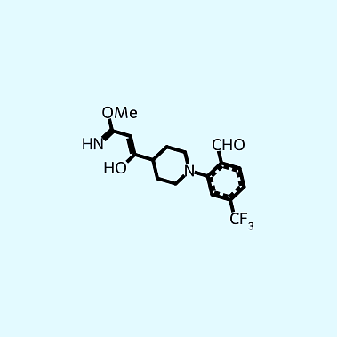 COC(=N)/C=C(\O)C1CCN(c2cc(C(F)(F)F)ccc2C=O)CC1